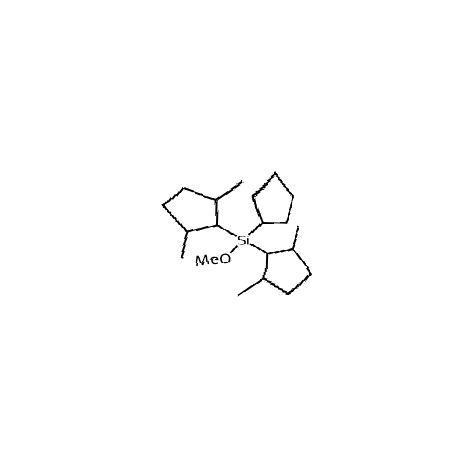 CO[Si](C1CCCC1)(C1C(C)CCC1C)C1C(C)CCC1C